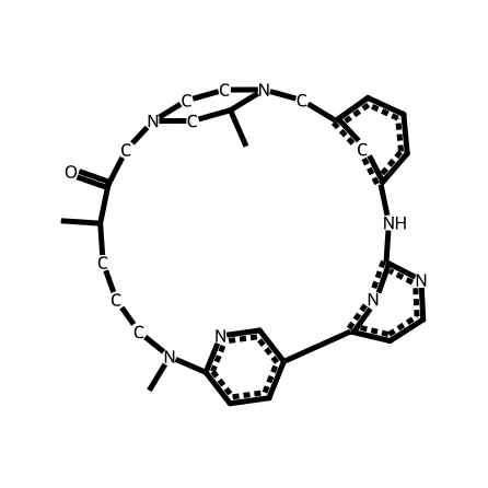 CC1CCCN(C)c2ccc(cn2)-c2ccnc(n2)Nc2cccc(c2)CN2CCN(CC1=O)CC2C